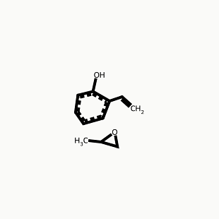 C=Cc1ccccc1O.CC1CO1